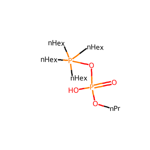 CCCCCCP(CCCCCC)(CCCCCC)(CCCCCC)OP(=O)(O)OCCC